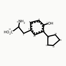 NC(Cc1ccc(O)c(C2CCCC2)c1)C(=O)O